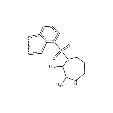 CC1NCCCN(S(=O)(=O)c2cccc3cnccc23)C1C